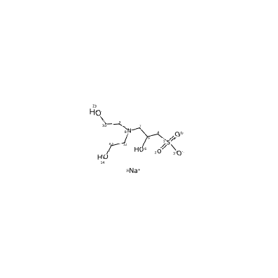 O=S(=O)([O-])CC(O)CN(CCO)CCO.[Na+]